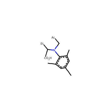 CCC(C(=O)O)N(CC(C)=O)c1c(C)cc(C)cc1C